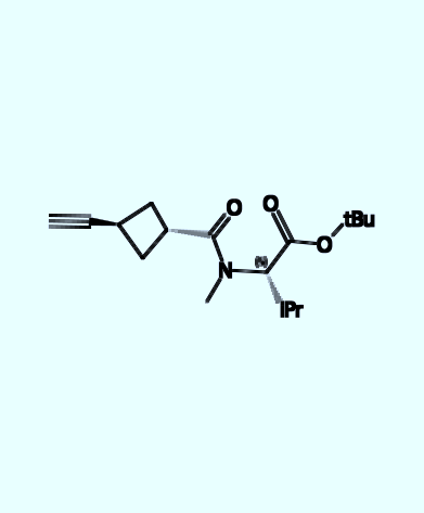 C#C[C@H]1C[C@H](C(=O)N(C)[C@H](C(=O)OC(C)(C)C)C(C)C)C1